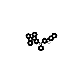 c1ccc(N(c2ccc3c(c2)-c2ccccc2C32c3ccccc3-c3ccccc32)c2ccc3c(c2)oc2cc4ccccc4cc23)cc1